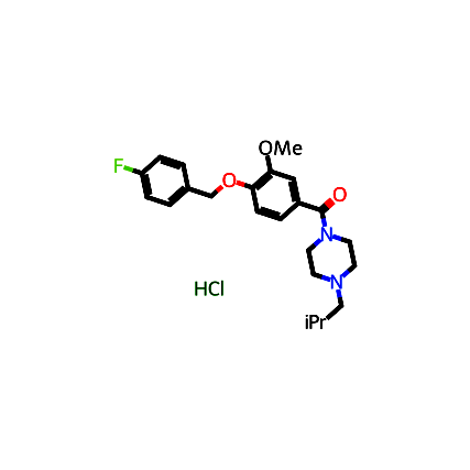 COc1cc(C(=O)N2CCN(CC(C)C)CC2)ccc1OCc1ccc(F)cc1.Cl